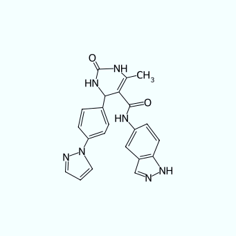 CC1=C(C(=O)Nc2ccc3[nH]ncc3c2)C(c2ccc(-n3cccn3)cc2)NC(=O)N1